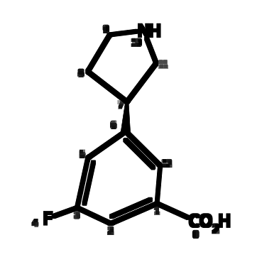 O=C(O)c1cc(F)cc([C@H]2CCNC2)c1